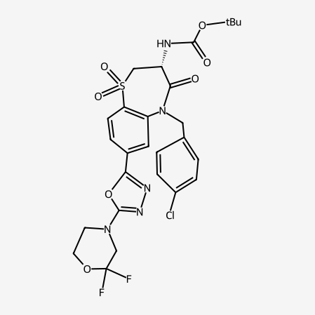 CC(C)(C)OC(=O)N[C@H]1CS(=O)(=O)c2ccc(-c3nnc(N4CCOC(F)(F)C4)o3)cc2N(Cc2ccc(Cl)cc2)C1=O